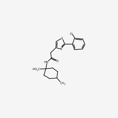 CC1CCC(NC(=O)Cc2csc(-c3ccccc3Cl)n2)(C(=O)O)CC1